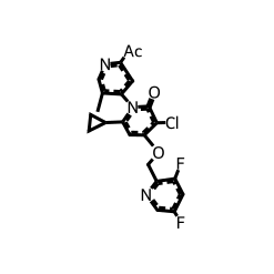 CC(=O)c1cc(-n2c(C3CC3)cc(OCc3ncc(F)cc3F)c(Cl)c2=O)c(C)cn1